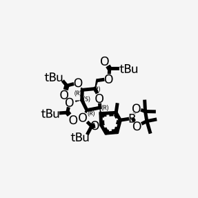 Cc1c(B2OC(C)(C)C(C)(C)O2)cccc1[C@H]1O[C@H](COC(=O)C(C)(C)C)[C@@H](OC(=O)C(C)(C)C)[C@@H](OC(=O)C(C)(C)C)[C@@H]1OC(=O)C(C)(C)C